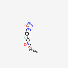 CC(=O)NCC1CN(c2ccc(-c3ccc(CNC(=O)CN)cc3)c(F)c2)C(=O)O1